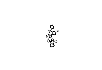 O=C1c2ccccc2C(=O)N1Cc1cnc2n1-c1ccc(F)cc1C(c1ccccc1)=NC2